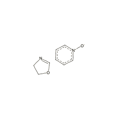 C1=NCCO1.[O-][n+]1ccccc1